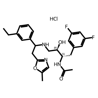 CCc1cccc(C(Cc2ncc(C)o2)NC[C@@H](O)[C@H](Cc2cc(F)cc(F)c2)NC(C)=O)c1.Cl